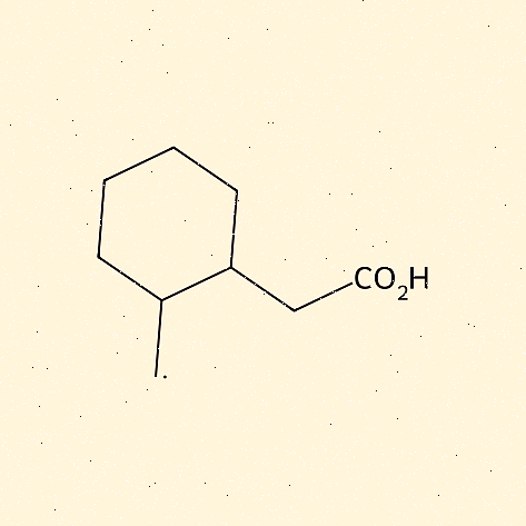 [CH2]C1CCCCC1CC(=O)O